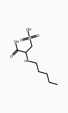 CCCCCNC(CS(=O)(=O)O)C(=O)O